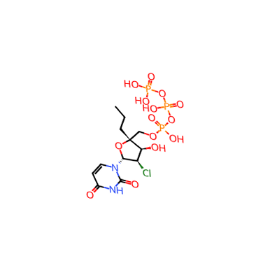 CCC[C@]1(COP(=O)(O)OP(=O)(O)OP(=O)(O)O)O[C@@H](n2ccc(=O)[nH]c2=O)[C@H](Cl)[C@@H]1O